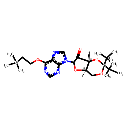 CC(C)(C)[Si]1(C(C)(C)C)OC[C@H]2OC(n3cnc4c(OCC[Si](C)(C)C)ncnc43)C(=O)[C@@H]2O1